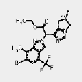 CCOC(=O)C(c1ncn2c1C[C@@H](F)C2)n1cc2c(C(F)(F)F)cc(Br)c(C)c2n1